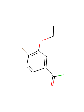 CCOc1cc(C(=O)Cl)ccc1Br